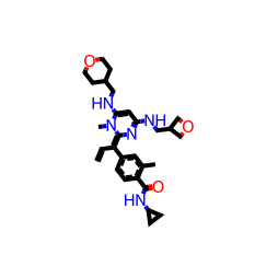 C=C/C(=C1/N=C(NCC2COC2)C=C(NCC2CCOCC2)N1C)c1ccc(C(=O)NC2CC2)c(C)c1